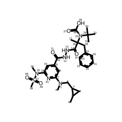 CC1CC1CN(C)c1cc(C(=O)NNC(=O)C(C)(Cc2ccccc2)N(C(=O)O)C(C)(C)C)cc(N(C)S(C)(=O)=O)n1